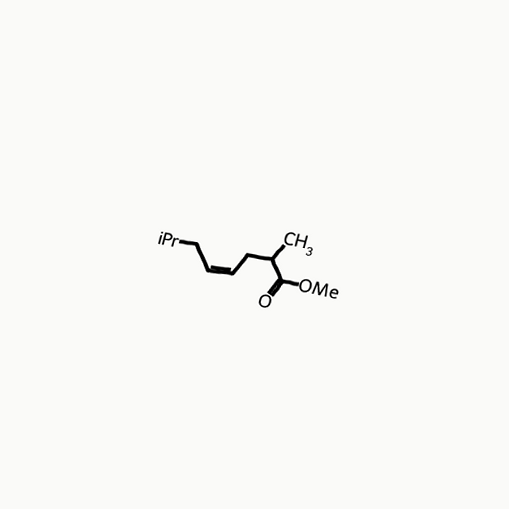 COC(=O)C(C)C/C=C\CC(C)C